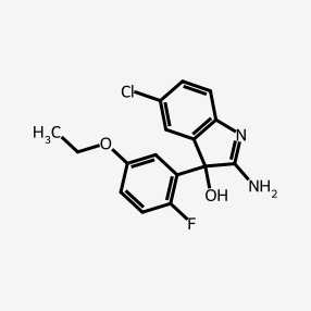 CCOc1ccc(F)c(C2(O)C(N)=Nc3ccc(Cl)cc32)c1